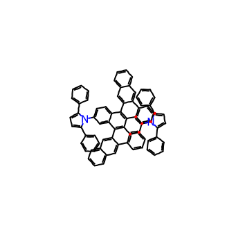 c1ccc(-c2cc3ccccc3cc2-c2c3ccc(-n4c(-c5ccccc5)ccc4-c4ccccc4)cc3c(-c3cc4ccccc4cc3-c3ccccc3)c3ccc(-n4c(-c5ccccc5)ccc4-c4ccccc4)cc23)cc1